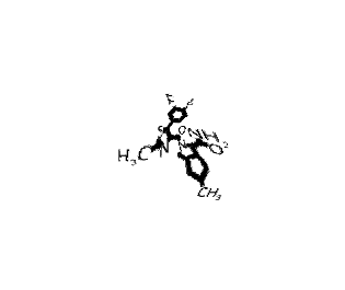 Cc1nc(C(=O)N2CC3CC(C)CC3C2C(N)=O)c(-c2ccc(F)c(F)c2)s1